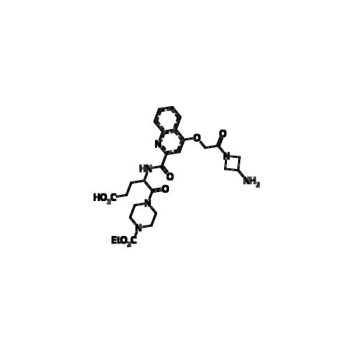 CCOC(=O)N1CCN(C(=O)C(CCC(=O)O)NC(=O)c2cc(OCC(=O)N3CC(N)C3)c3ccccc3n2)CC1